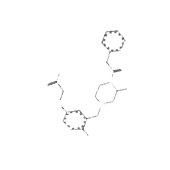 CC1CN(Cc2cc(OCC(=O)O)ccc2Cl)CCN1C(=O)Cc1ccccc1